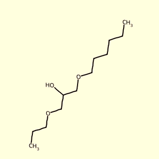 CCCCCCOCC(O)COCCC